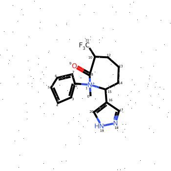 C[N+]1(c2ccccc2)C(=O)C(C(F)(F)F)CCCC1c1cn[nH]c1